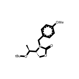 COc1ccc(CN2C(=O)OC[C@@H]2[C@H](C)OC(C)(C)C)cc1